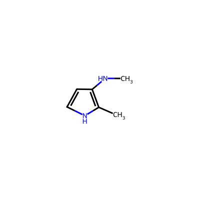 CNc1cc[nH]c1C